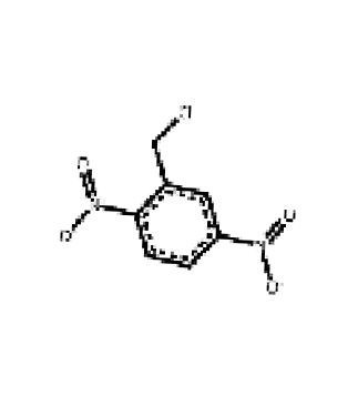 O=[N+]([O-])c1ccc([N+](=O)[O-])c(CCl)c1